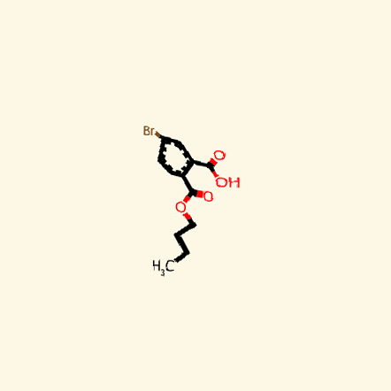 CCCCOC(=O)c1ccc(Br)cc1C(=O)O